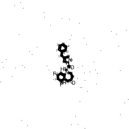 O=C1CCN(NC(=O)n2cc(Cc3ccccc3)cn2)C2=C[C@@H](F)C[C@H](F)[C@H]2C1